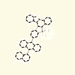 CC1(C)c2cc(-c3c4ccccc4c(-c4cccc5ccccc45)c4ccccc34)ccc2-c2c1c1ccccc1c1sc3ccccc3c21